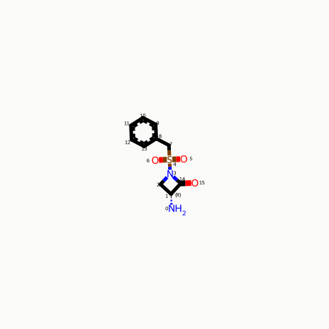 N[C@@H]1CN(S(=O)(=O)Cc2ccccc2)C1=O